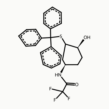 O=C(N[C@@H]1CC[C@H](O)C(SC(c2ccccc2)(c2ccccc2)c2ccccc2)C1)C(F)(F)F